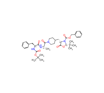 C[C@H](NC(=O)[C@H](Cc1ccccc1)NC(=O)OC(C)(C)C)C(=O)N1CCC(C[C@H]2C(=O)O[C@@H](C(C)(C)C)N2C(=O)OCc2ccccc2)CC1